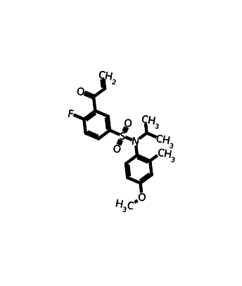 C=CC(=O)c1cc(S(=O)(=O)N(c2ccc(OC)cc2C)C(C)C)ccc1F